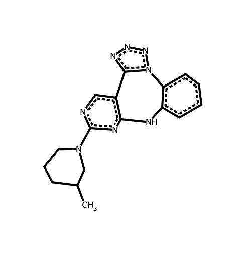 CC1CCCN(c2ncc3c(n2)Nc2ccccc2-n2nnnc2-3)C1